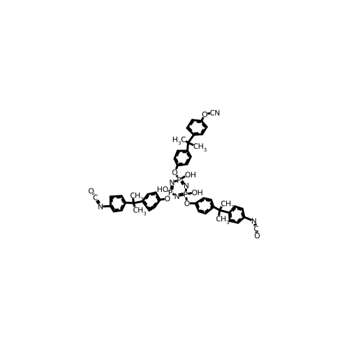 CC(C)(c1ccc(N=C=O)cc1)c1ccc(OP2(O)=NP(O)(Oc3ccc(C(C)(C)c4ccc(N=C=O)cc4)cc3)=NP(O)(Oc3ccc(C(C)(C)c4ccc(OC#N)cc4)cc3)=N2)cc1